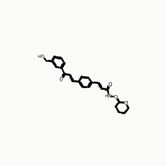 O=C(/C=C/c1ccc(/C=C/C(=O)c2cccc(CO)c2)cc1)NOC1CCCCO1